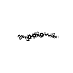 C=CC(=O)OCCOc1ccc(-c2ccc(C(=O)Oc3ccc(OCCCCCC(=O)O)cc3)cc2)cc1CC